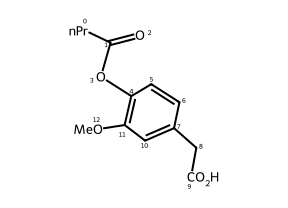 CCCC(=O)Oc1ccc(CC(=O)O)cc1OC